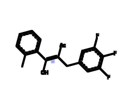 CC(=O)/C(Cc1cc(F)c(F)c(F)c1)=C(/O)c1ccccc1C